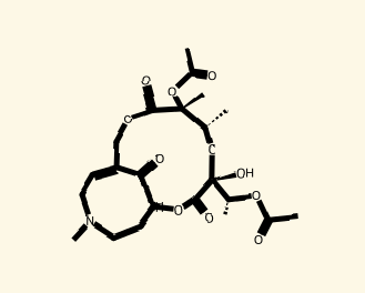 CC(=O)O[C@H](C)[C@@]1(O)C[C@@H](C)[C@@](C)(OC(C)=O)C(=O)OC/C2=C/CN(C)CC[C@@H](OC1=O)C2=O